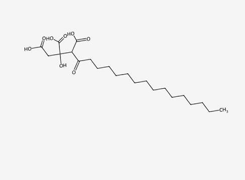 CCCCCCCCCCCCCCCC(=O)C(C(=O)O)C(O)(CC(=O)O)C(=O)O